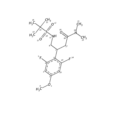 COc1cc(F)c(C(CNS(=O)(=O)C(C)(C)C)CC(=O)N(C)C)c(F)c1